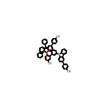 N#Cc1ccc(-c2ccc3c(c2)c2ccccc2n3-c2ccc(-c3nc(-c4ccccc4)nc(-c4ccccc4)n3)c(-c3cc(C#N)ccc3-n3c4ccccc4c4cc(-c5ccc(C#N)cc5)ccc43)c2)cc1